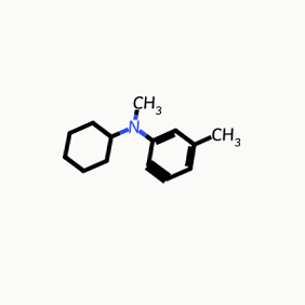 Cc1cc#cc(N(C)C2CCCCC2)c1